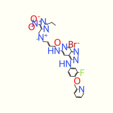 CCc1nc([N+](=O)[O-])c(C[N+](C)(C)C/C=C/C(=O)Nc2cc3c(Nc4ccc(OCc5ccccn5)c(F)c4)ncnc3cn2)n1C.[Br-]